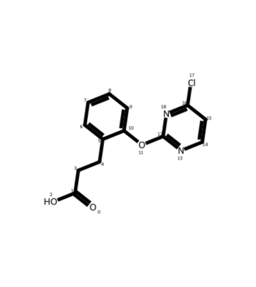 O=C(O)CCc1ccccc1Oc1nccc(Cl)n1